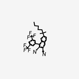 CCCCCC(C)(C)c1ccc2cc(C#N)c(C#N)c(-c3cc(C(F)(F)F)cc(C(F)(F)F)c3)c2c1